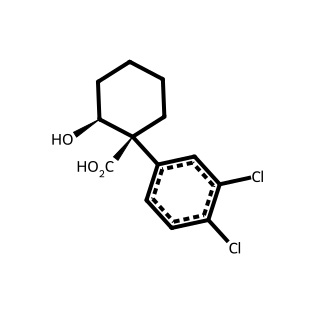 O=C(O)[C@]1(c2ccc(Cl)c(Cl)c2)CCCC[C@@H]1O